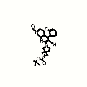 CC(C)(C)OC(=O)N1CC2(CCN(c3nc4c(c(-c5ccccc5F)c3C#N)CCN(C=O)C4)C2)C1